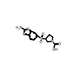 Nc1nc2ccc(S(=O)(=O)C3CCN(C(=O)O)C3)cc2s1